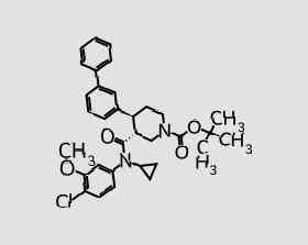 COc1cc(N(C(=O)[C@H]2CN(C(=O)OC(C)(C)C)CC[C@@H]2c2cccc(-c3ccccc3)c2)C2CC2)ccc1Cl